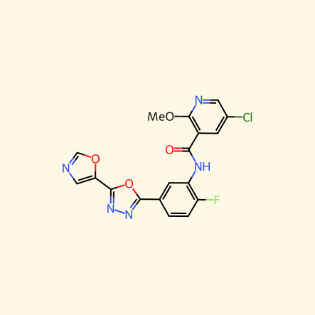 COc1ncc(Cl)cc1C(=O)Nc1cc(-c2nnc(-c3cnco3)o2)ccc1F